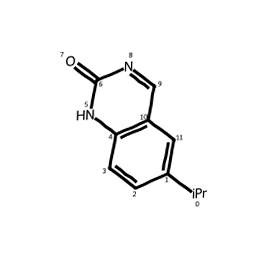 CC(C)c1ccc2[nH]c(=O)ncc2c1